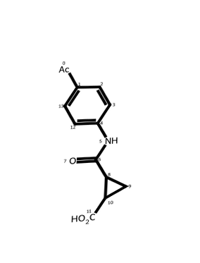 CC(=O)c1ccc(NC(=O)C2CC2C(=O)O)cc1